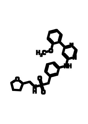 COc1ccccc1-c1cc(Nc2cccc(CS(=O)(=O)NCC3CCCO3)c2)ncn1